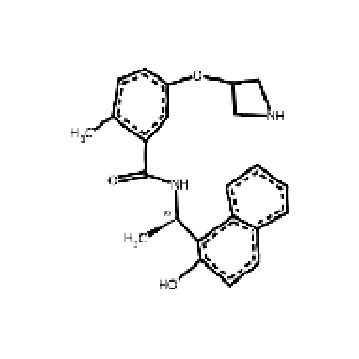 Cc1ccc(OC2CNC2)cc1C(=O)N[C@H](C)c1c(O)ccc2ccccc12